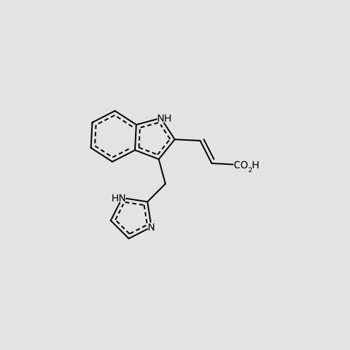 O=C(O)C=Cc1[nH]c2ccccc2c1Cc1ncc[nH]1